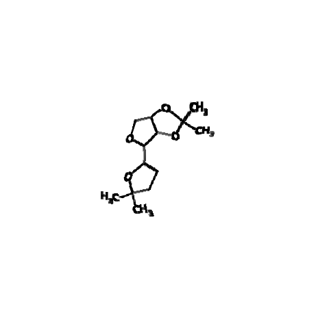 CC1(C)CCC(C2OCC3OC(C)(C)OC32)O1